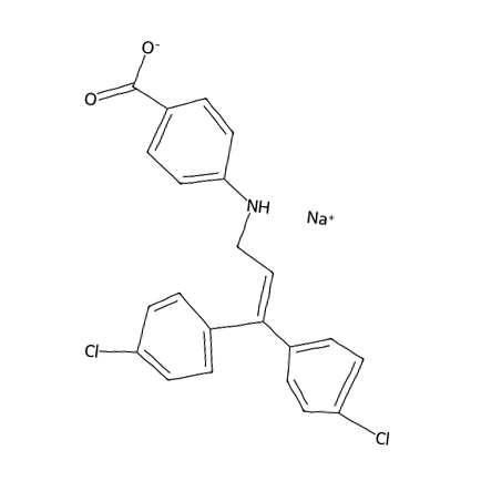 O=C([O-])c1ccc(NCC=C(c2ccc(Cl)cc2)c2ccc(Cl)cc2)cc1.[Na+]